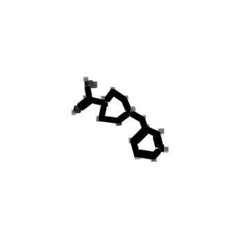 CC(C)(C)C(=O)N1CCN(Cc2cccnc2)CC1